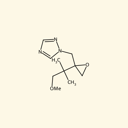 COCC(C)(C)C1(Cn2cncn2)CO1